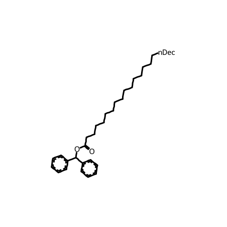 CCCCCCCCCCCCCCCCCCCCCCCCCC(=O)OC(c1ccccc1)c1ccccc1